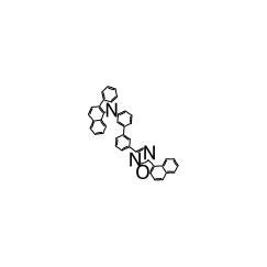 c1cc(-c2cccc(-n3c4ccccc4c4ccc5ccccc5c43)c2)cc(-c2cnc3c(n2)oc2ccc4ccccc4c23)c1